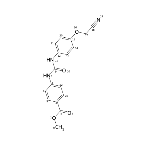 COC(=O)c1ccc(NC(=O)Nc2ccc(OCC#N)cc2)cc1